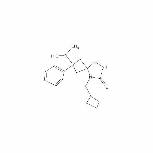 CN(C)C1(c2ccccc2)CC2(CNC(=O)N2CC2CCC2)C1